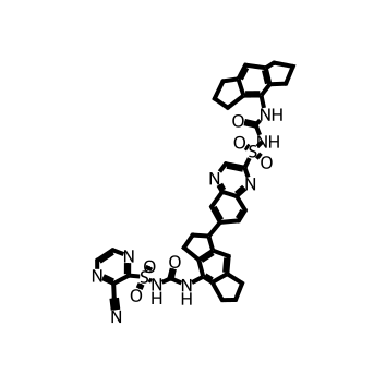 N#Cc1nccnc1S(=O)(=O)NC(=O)Nc1c2c(cc3c1CCC3c1ccc3nc(S(=O)(=O)NC(=O)Nc4c5c(cc6c4CCC6)CCC5)cnc3c1)CCC2